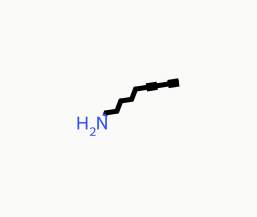 C#CC#CCCCCCN